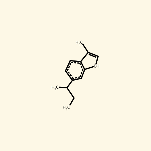 CCC(C)c1ccc2c(c1)BC=C2C